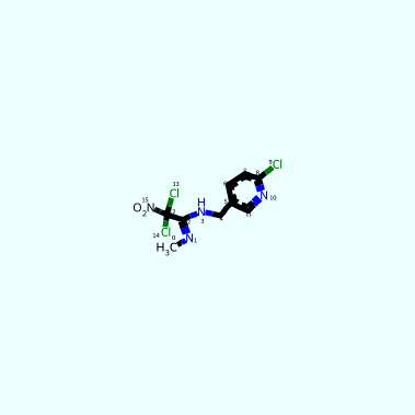 CN=C(NCc1ccc(Cl)nc1)C(Cl)(Cl)[N+](=O)[O-]